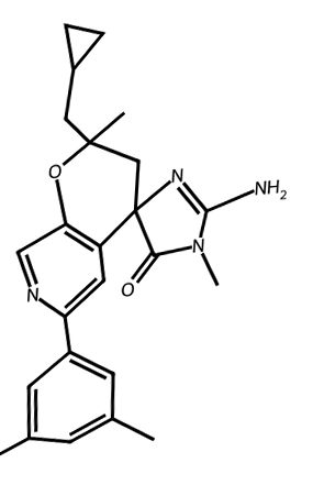 Cc1cc(F)cc(-c2cc3c(cn2)OC(C)(CC2CC2)CC32N=C(N)N(C)C2=O)c1